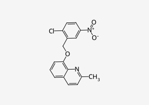 Cc1ccc2cccc(OCc3cc([N+](=O)[O-])ccc3Cl)c2n1